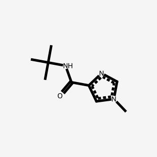 Cn1cnc(C(=O)NC(C)(C)C)c1